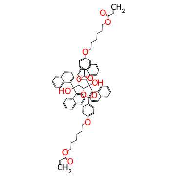 C=CC(=O)OCCCCCCOc1ccc(C(=O)O[C@H]([C@@H](OC(=O)c2ccc(OCCCCCCOC(=O)C=C)cc2)C(O)(c2cccc3ccccc23)c2cccc3ccccc23)C(O)(c2cccc3ccccc23)c2cccc3ccccc23)cc1